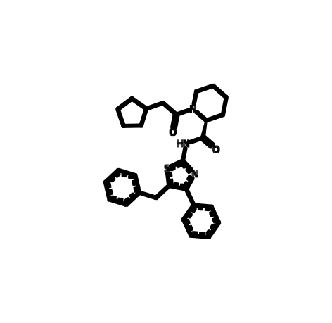 O=C(Nc1nc(-c2ccccc2)c(Cc2ccccc2)s1)[C@@H]1CCCCN1C(=O)CC1CCCC1